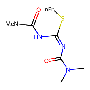 CCCSC(=NC(=O)N(C)C)NC(=O)NC